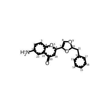 Nc1ccc2oc(C3=COC(Cc4ccccc4)O3)cc(=O)c2c1